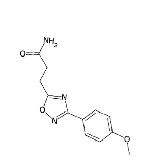 COc1ccc(-c2noc(CCC(N)=O)n2)cc1